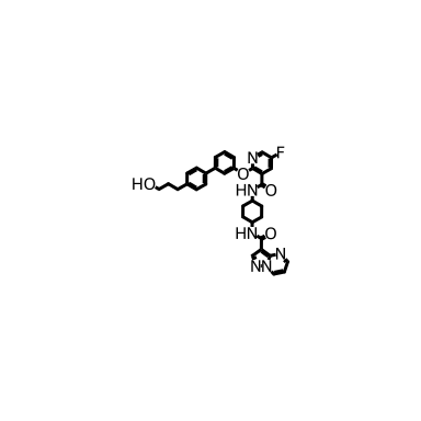 O=C(NC1CCC(NC(=O)c2cnn3cccnc23)CC1)c1cc(F)cnc1Oc1cccc(-c2ccc(CCCO)cc2)c1